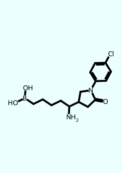 NC(CCCCB(O)O)C1CC(=O)N(c2ccc(Cl)cc2)C1